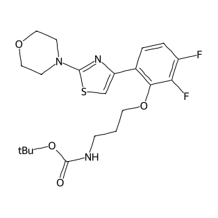 CC(C)(C)OC(=O)NCCCOc1c(-c2csc(N3CCOCC3)n2)ccc(F)c1F